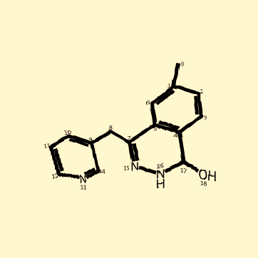 Cc1ccc2c(c1)C(Cc1cccnc1)=NNC2O